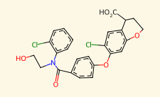 O=C(O)C1CCOc2cc(Oc3ccc(C(=O)N(CCO)c4ccccc4Cl)cc3)c(Cl)cc21